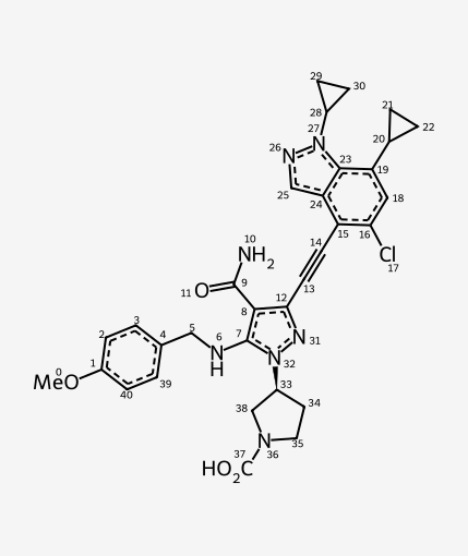 COc1ccc(CNc2c(C(N)=O)c(C#Cc3c(Cl)cc(C4CC4)c4c3cnn4C3CC3)nn2[C@H]2CCN(C(=O)O)C2)cc1